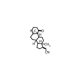 C[C@]12C(=O)CCCC1CC[C@@H]1[C@@H]2CC[C@]2(C)/C(=C/C#N)CC[C@@H]12